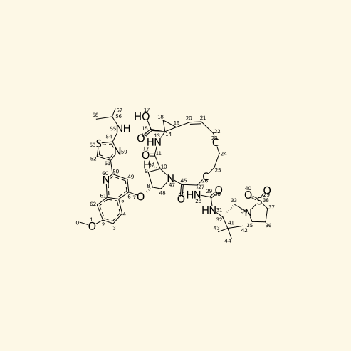 COc1ccc2c(O[C@@H]3C[C@H]4C(=O)N[C@]5(C(=O)O)CC5/C=C\CCCCC[C@H](NC(=O)N[C@H](CN5CCCS5(=O)=O)C(C)(C)C)C(=O)N4C3)cc(-c3csc(NC(C)C)n3)nc2c1